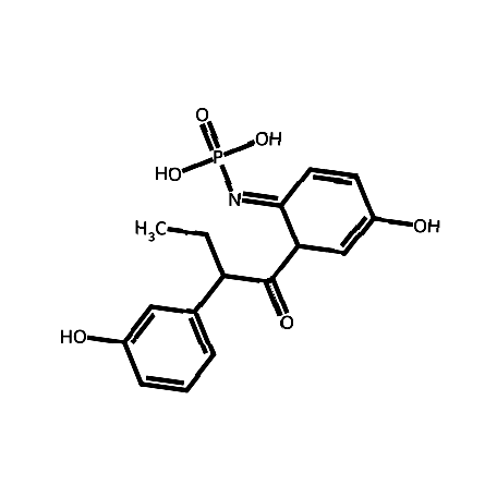 CCC(C(=O)C1C=C(O)C=CC1=NP(=O)(O)O)c1cccc(O)c1